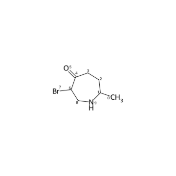 CC1CCC(=O)C(Br)CN1